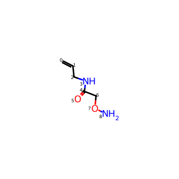 C=CCNC(=O)CON